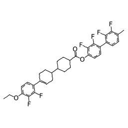 CCOc1ccc(C2=CCC(C3CCC(C(=O)Oc4ccc(-c5ccc(C)c(F)c5F)c(F)c4F)CC3)CC2)c(F)c1F